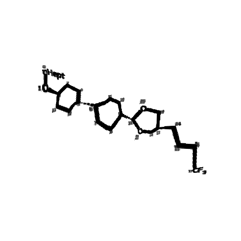 CCCCCCCO[C@H]1CC[C@H](C2CCC([C@H]3OC[C@H](CCCC(F)(F)F)CO3)CC2)CC1